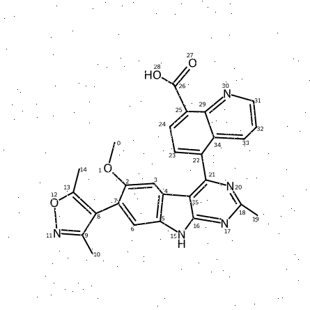 COc1cc2c(cc1-c1c(C)noc1C)[nH]c1nc(C)nc(-c3ccc(C(=O)O)c4ncccc34)c12